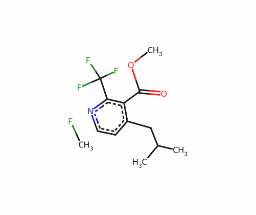 CF.COC(=O)c1c(CC(C)C)ccnc1C(F)(F)F